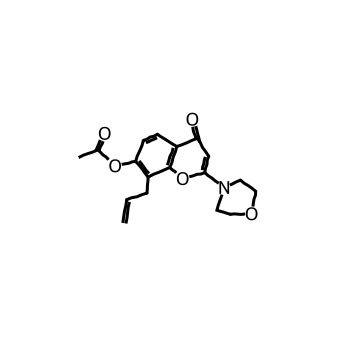 C=CCc1c(OC(C)=O)ccc2c(=O)cc(N3CCOCC3)oc12